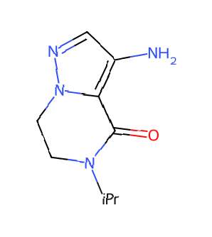 CC(C)N1CCn2ncc(N)c2C1=O